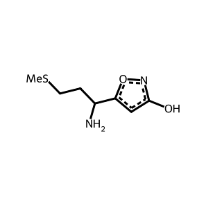 CSCCC(N)c1cc(O)no1